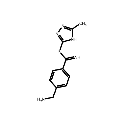 Cc1nnc(SC(=N)c2ccc(CN)cc2)[nH]1